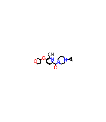 N#Cc1nc(C(=O)N2CCCN(C3CC3)CC2)ccc1OC1CCOC1